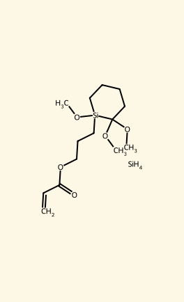 C=CC(=O)OCCC[Si]1(OC)CCCCC1(OC)OC.[SiH4]